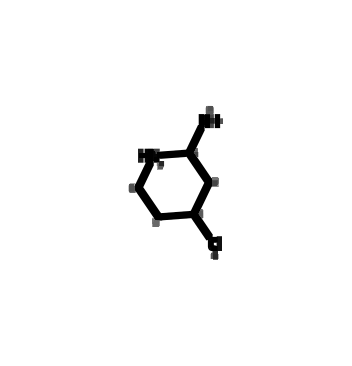 [NH]C1CC(Cl)CCN1